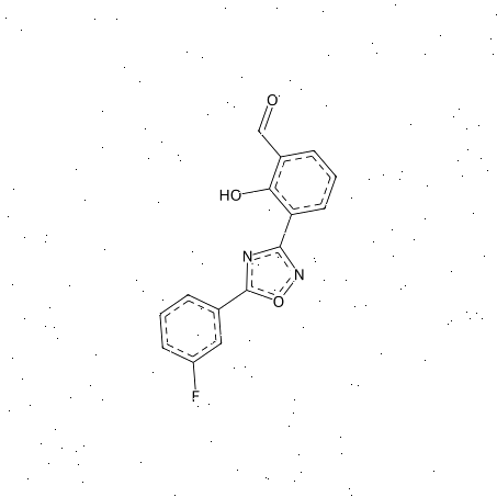 O=Cc1cccc(-c2noc(-c3cccc(F)c3)n2)c1O